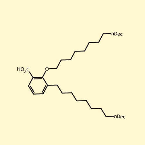 CCCCCCCCCCCCCCCCCCOc1c(CCCCCCCCCCCCCCCCCC)cccc1C(=O)O